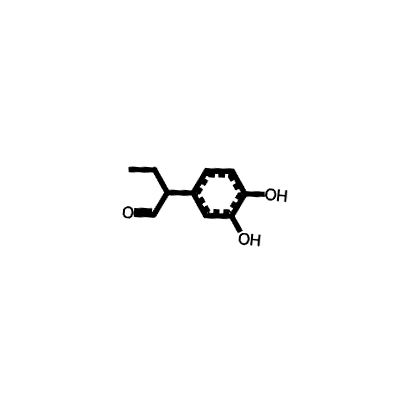 CCC(C=O)c1ccc(O)c(O)c1